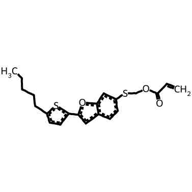 C=CC(=O)OCSc1ccc2cc(-c3ccc(CCCCC)s3)oc2c1